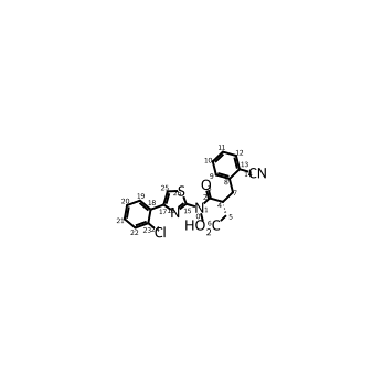 CN(C(=O)[C@@H](CC(=O)O)Cc1ccccc1C#N)c1nc(-c2ccccc2Cl)cs1